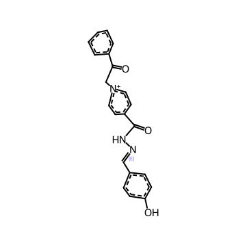 O=C(C[n+]1ccc(C(=O)N/N=C/c2ccc(O)cc2)cc1)c1ccccc1